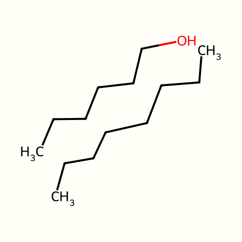 CCCCCCCC.CCCCCCO